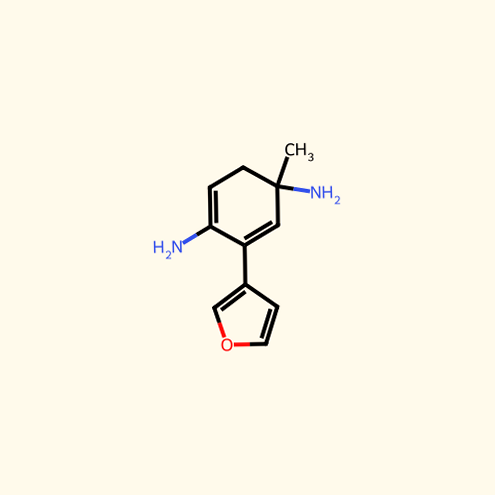 CC1(N)C=C(c2ccoc2)C(N)=CC1